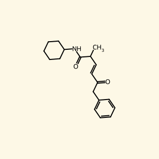 CC(C=CC(=O)Cc1ccccc1)C(=O)NC1CCCCC1